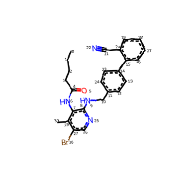 CCCCC(=O)Nc1c(NCc2ccc(-c3ccccc3C#N)cc2)ncc(Br)c1C